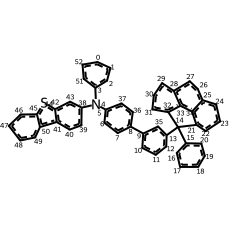 c1ccc(N(c2ccc(-c3cccc(C4(c5ccccc5)c5cccc6ccc7cccc4c7c56)c3)cc2)c2ccc3c(c2)sc2ccccc23)cc1